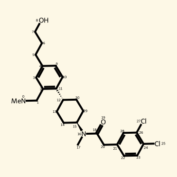 CNCc1cc(CCCO)ccc1[C@H]1CC[C@H](N(C)C(=O)Cc2ccc(Cl)c(Cl)c2)CC1